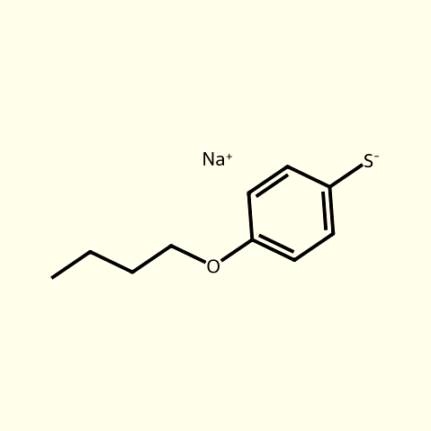 CCCCOc1ccc([S-])cc1.[Na+]